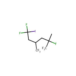 CC(F)(CC(CC(F)(F)I)C(F)(F)F)C(F)(F)F